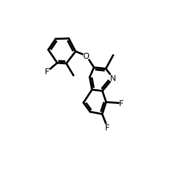 Cc1nc2c(F)c(F)ccc2cc1Oc1cccc(F)c1C